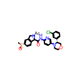 CC(=O)N1Cc2cc([S+](C)[O-])ccc2C1C(=O)Nc1ccc(N2CCOC[C@H]2c2cccc(Cl)c2)cn1